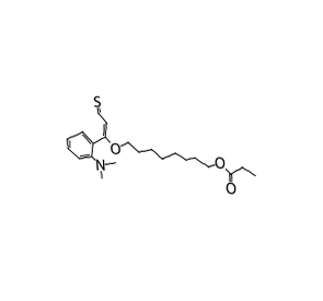 CCC(=O)OCCCCCCCCO/C(=C/C=S)c1ccccc1N(C)C